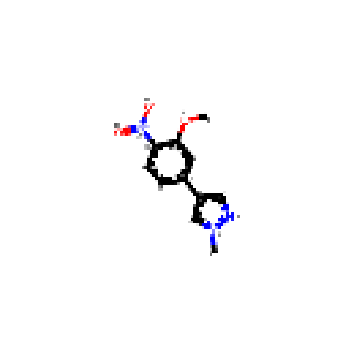 COc1cc(-c2cnn(C)c2)ccc1[N+](=O)[O-]